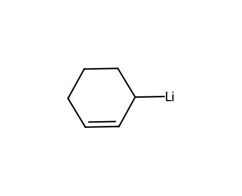 [Li][CH]1C=CCCC1